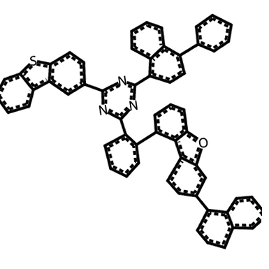 c1ccc(-c2ccc(-c3nc(-c4ccc5sc6ccccc6c5c4)nc(-c4ccccc4-c4cccc5oc6cc(-c7cccc8ccccc78)ccc6c45)n3)c3ccccc23)cc1